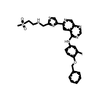 CS(=O)(=O)CCNCc1nc(-c2cc3c(Nc4ccc(OCc5ccccc5)c(I)c4)ncnc3cn2)cs1